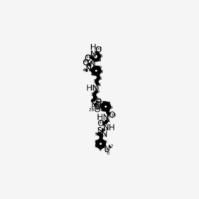 CN(C)c1cccc(-c2csc(NC(=O)CNC(=O)c3cccc(S(=O)(=O)N(C)CCCCNCCCc4ccc5c(c4)n(C)c(=O)n5C4CCC(=O)NC4=O)c3)n2)c1